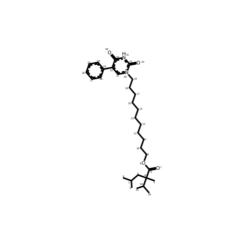 CC(C)CC(C)(C(=O)OCCCCCCCCCCCn1cc(-c2ccccc2)c(=O)[nH]c1=O)C(C)C